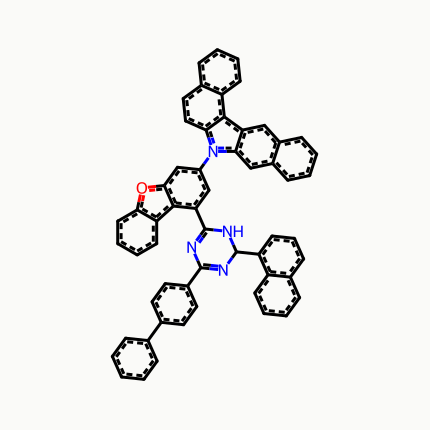 c1ccc(-c2ccc(C3=NC(c4cccc5ccccc45)NC(c4cc(-n5c6cc7ccccc7cc6c6c7ccccc7ccc65)cc5oc6ccccc6c45)=N3)cc2)cc1